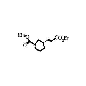 CCOC(=O)/C=C/[C@@H]1CCCN(C(=O)OC(C)(C)C)C1